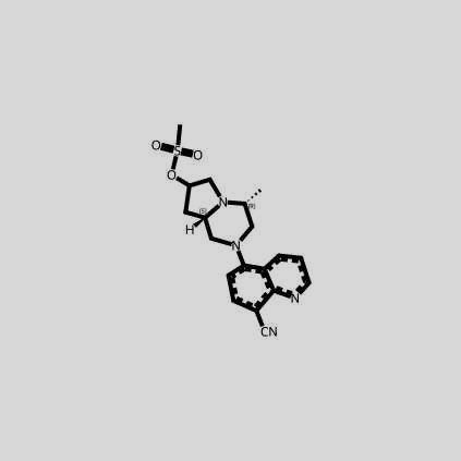 C[C@@H]1CN(c2ccc(C#N)c3ncccc23)C[C@@H]2CC(OS(C)(=O)=O)CN21